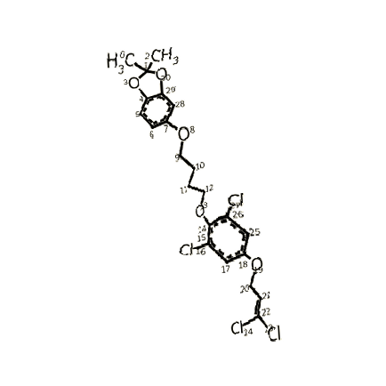 CC1(C)Oc2ccc(OCCCCOc3c(Cl)cc(OCC=C(Cl)Cl)cc3Cl)cc2O1